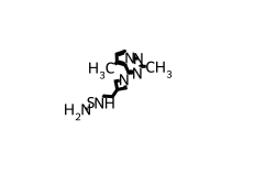 Cc1nc(N2CC(CCNSN)C2)c2c(C)ccn2n1